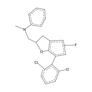 CN(CC1Cc2cc(F)cc(-c3c(Cl)cccc3Cl)c2O1)c1ccccc1